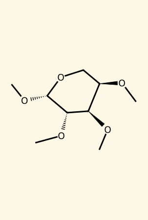 CO[C@@H]1OC[C@@H](OC)[C@@H](OC)[C@@H]1OC